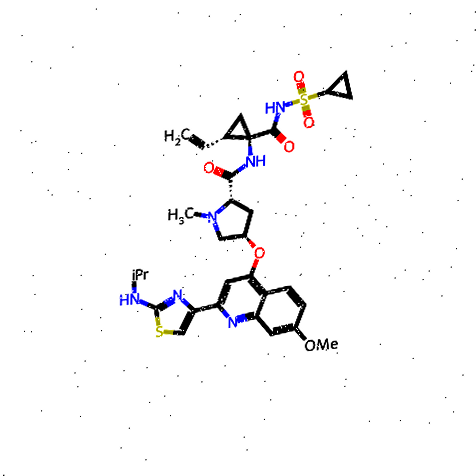 C=C[C@@H]1C[C@]1(NC(=O)[C@@H]1C[C@@H](Oc2cc(-c3csc(NC(C)C)n3)nc3cc(OC)ccc23)CN1C)C(=O)NS(=O)(=O)C1CC1